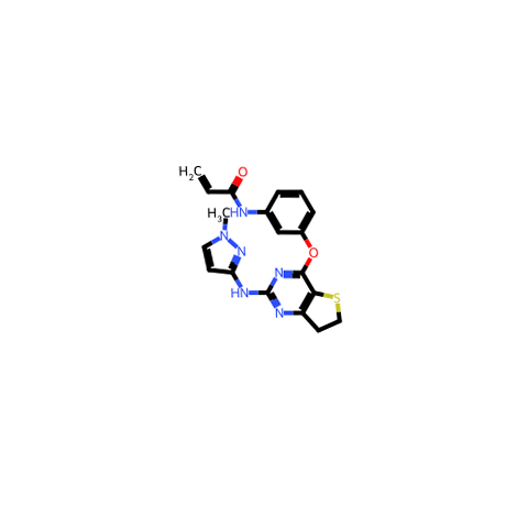 C=CC(=O)Nc1cccc(Oc2nc(Nc3ccn(C)n3)nc3c2SCC3)c1